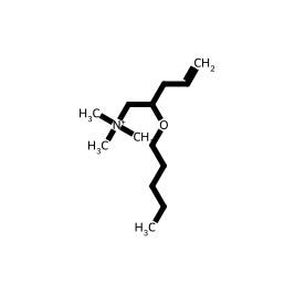 C=CCC(C[N+](C)(C)C)OCCCCC